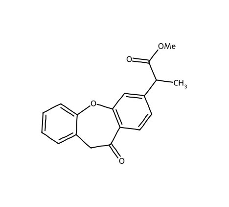 COC(=O)C(C)c1ccc2c(c1)Oc1ccccc1CC2=O